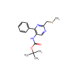 CSCc1ncc(NC(=O)OC(C)(C)C)c(-c2ccccc2)n1